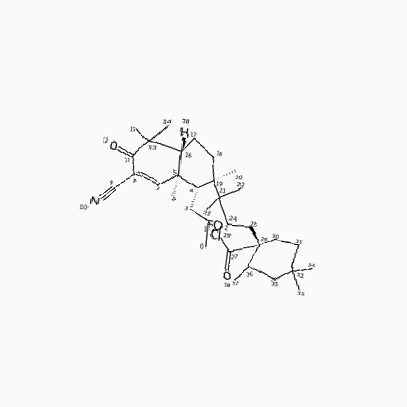 CC(=O)C[C@@H]1[C@@]2(C)C=C(C#N)C(=O)C(C)(C)[C@@H]2CC[C@@]1(C)C(C)(C)CC[C@@]1(C(=O)Cl)CCC(C)(C)CC1C